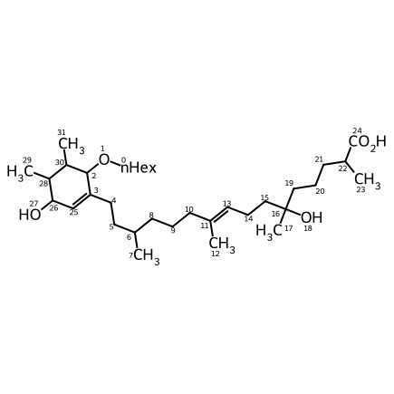 CCCCCCOC1C(CCC(C)CCC/C(C)=C/CCC(C)(O)CCCC(C)C(=O)O)=CC(O)C(C)C1C